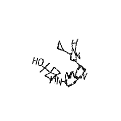 CC(C)(O)C12CCC1(Nc1ccc3ncc(-c4cc(C5CC5)[nH]n4)n3n1)CC2